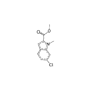 COC(=O)c1cc2ccc(Cl)cc2n1C